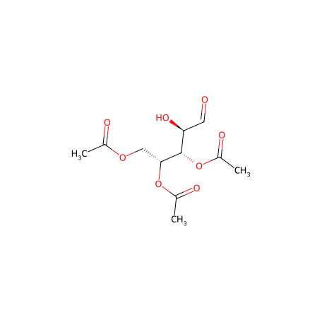 CC(=O)OC[C@@H](OC(C)=O)[C@@H](OC(C)=O)[C@@H](O)C=O